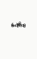 Cc1cc(C(=O)NCC2(O)CCS(=O)(=O)CC2)nc2c(C(C)(C)C)cc(NCC(F)(F)F)cc12